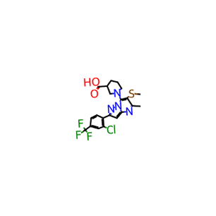 CSc1c(C)nc2cc(-c3ccc(C(F)(F)F)cc3Cl)nn2c1N1CCCC(C(=O)O)C1